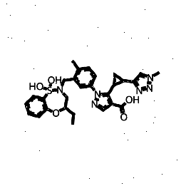 CCC1CN(Cc2cc(-n3ncc(C(=O)O)c3C3CC3c3cn(C)nn3)ccc2C)S(O)(O)c2ccccc2O1